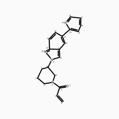 C=CC(=O)N1CCCC(n2cc3cc(-c4ccccn4)ccc3n2)C1